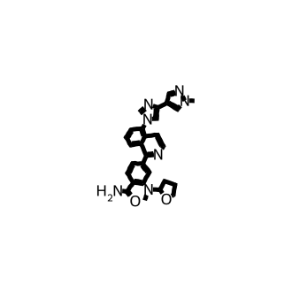 CN(c1cc(-c2nccc3c(-n4cnc(-c5cnn(C)c5)c4)cccc23)ccc1C(N)=O)C1CCCO1